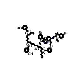 CCCC1CC(CC(O)CCCC2CC(CCCC3CC(CC)OC(c4cccc(O)c4)O3)OC(c3cccc(O)c3)O2)OC(c2cccc(OCCC3=C(/C=C/C4=[N+](CC)c5ccc(Br)cc5C4(C)C)CCC/C3=C\C=C3\N(CC)c4ccc(Br)cc4C3(C)C)c2)O1